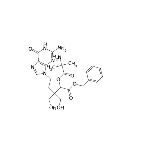 CC(C)(N)C(=O)OC(C(=O)OCc1ccccc1)C(CO)(CO)CCn1cnc2c(=O)[nH]c(N)nc21